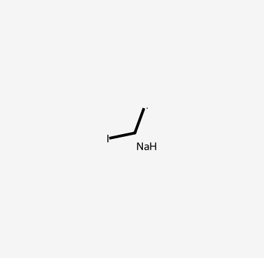 [CH2]CI.[NaH]